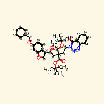 CC(C)(C)OC(=O)C(CCn1nnc2ccccc2c1=O)(CC(=O)c1coc2cc(OCc3ccccc3)ccc12)C(=O)OC(C)(C)C